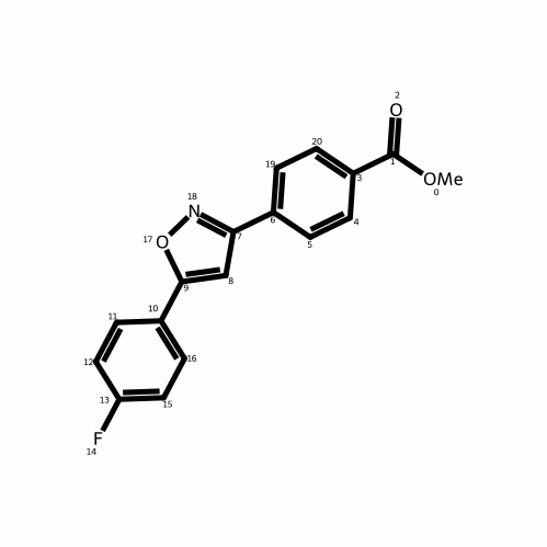 COC(=O)c1ccc(-c2cc(-c3ccc(F)cc3)on2)cc1